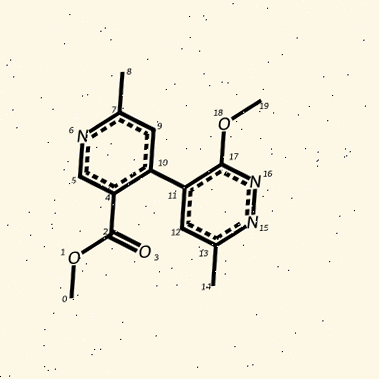 COC(=O)c1cnc(C)cc1-c1cc(C)nnc1OC